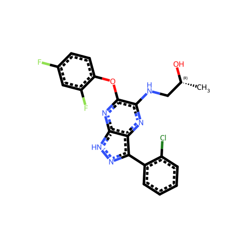 C[C@@H](O)CNc1nc2c(-c3ccccc3Cl)n[nH]c2nc1Oc1ccc(F)cc1F